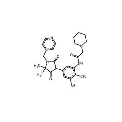 CC1(C)C(=O)N(c2cc(S)c(C(F)(F)F)c(NC(=O)CN3CCCCC3)c2)C(=O)N1Cc1ccncc1